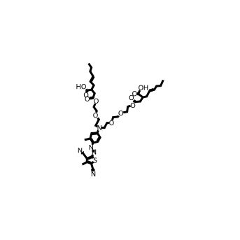 CCC/C=C/CC(CC(=O)OCCOCCOCCN(CCOCCOC(=O)CC(C/C=C/CCC)C(=O)O)c1ccc(/N=N/c2sc(C#N)c(C)c2C#N)c(C)c1)C(=O)O